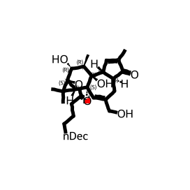 CCCCCCCCCCCCCC(=O)O[C@@]12[C@H](O)[C@@H](C)[C@]3(O)[C@@H]4C=C(C)C(=O)[C@H]4CC(CO)=C[C@H]3[C@@H]1C2(C)C